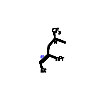 CC/C=C(\CCC)C[C@H](C)C(F)(F)F